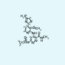 CNC(=O)c1nnc(NC(=O)C2CC2)cc1Nc1nccc(-c2ncn(C)n2)c1OC